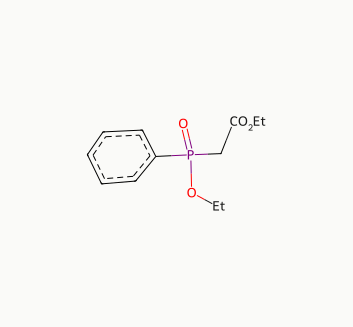 CCOC(=O)CP(=O)(OCC)c1ccccc1